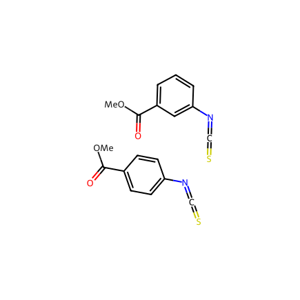 COC(=O)c1ccc(N=C=S)cc1.COC(=O)c1cccc(N=C=S)c1